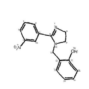 O=[N+]([O-])c1cccc(C2=NCCN2Cc2ccccc2O)c1